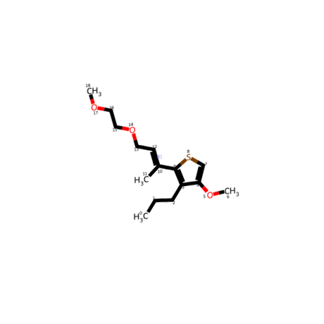 CCCc1c(OC)csc1/C(C)=C/COCCOC